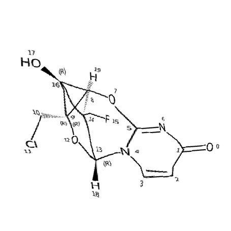 O=c1ccn2c(n1)OC1[C@@]3(CCl)O[C@@H]2[C@H](F)[C@@]13O